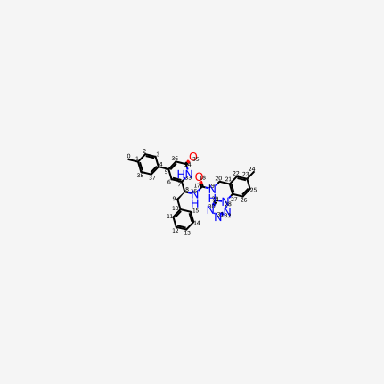 Cc1ccc(-c2cc([C@H](Cc3ccccc3)NC(=O)NCc3cc(C)ccc3-n3cnnn3)[nH]c(=O)c2)cc1